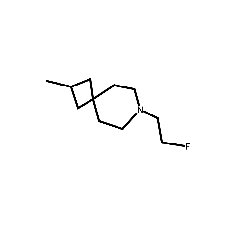 CC1CC2(CCN(CCF)CC2)C1